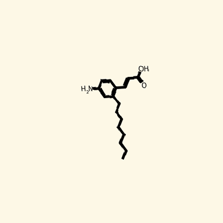 CCCCCCCCc1cc(N)ccc1C=CC(=O)O